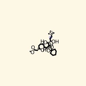 COC(=O)C[C@H]1CC[C@@H]2O[C@@H](C(O)/C=C/[Si](C)(C)C)[C@H]3OC4(CCCCC4)O[C@H]3[C@H]2O1